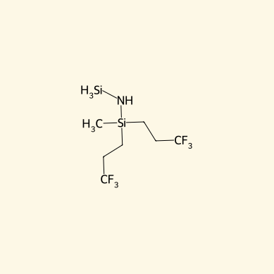 C[Si](CCC(F)(F)F)(CCC(F)(F)F)N[SiH3]